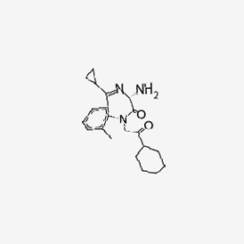 Cc1cccc2c1N(CC(=O)C1CCCCC1)C(=O)[C@@H](N)N=C2C1CC1